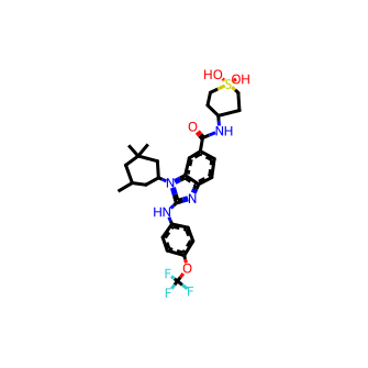 CC1CC(n2c(Nc3ccc(OC(F)(F)F)cc3)nc3ccc(C(=O)NC4CCS(O)(O)CC4)cc32)CC(C)(C)C1